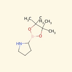 CC1(C)OB(C2CCCN2)OC1(C)C